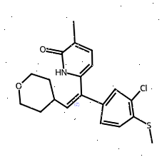 CSc1ccc(/C(=C/C2CCOCC2)c2ccc(C)c(=O)[nH]2)cc1Cl